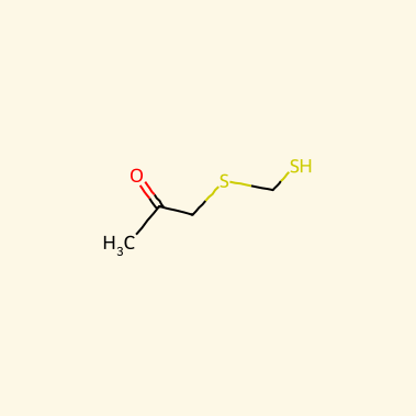 CC(=O)CSCS